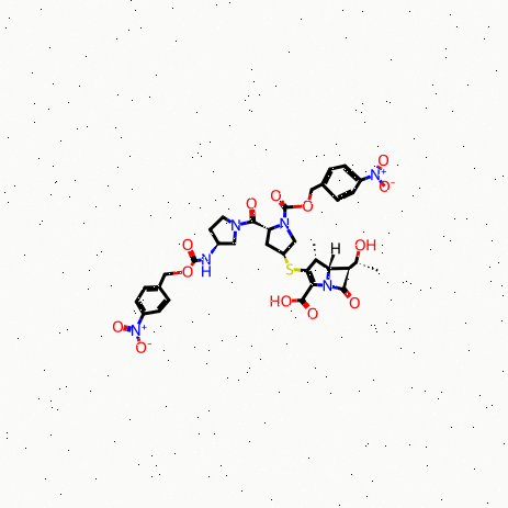 C[C@@H](O)[C@H]1C(=O)N2C(C(=O)O)=C(S[C@H]3C[C@@H](C(=O)N4CC[C@H](NC(=O)OCc5ccc([N+](=O)[O-])cc5)C4)N(C(=O)OCc4ccc([N+](=O)[O-])cc4)C3)[C@H](C)[C@H]12